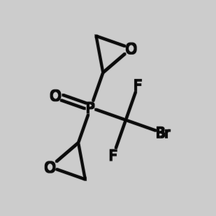 O=P(C1CO1)(C1CO1)C(F)(F)Br